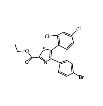 CCOC(=O)c1nc(-c2ccc(Br)cc2)c(-c2ccc(Cl)cc2Cl)s1